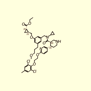 CCOC(=O)[C@H]1C[C@@H]1COc1cc(CCCOC)cc(CN(C(=O)[C@H]2CNCC[C@@H]2c2ccc(OCCOc3c(Cl)cc(C)cc3Cl)nc2)C2CC2)c1